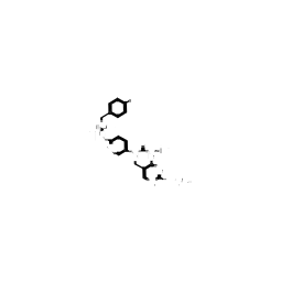 CSc1ncc2c(n1)N(C(C)C)C(=O)N(c1ccc(NS(=O)(=O)Cc3ccc(F)cc3)nc1)C2